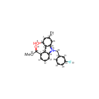 CCc1cc(O)c2c3c(C(=O)OC)cccc3n(Cc3cccc(F)c3)c2c1